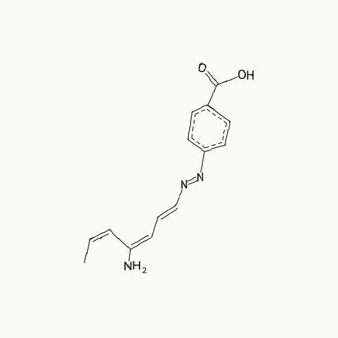 C\C=C/C(N)=C\C=C\N=Nc1ccc(C(=O)O)cc1